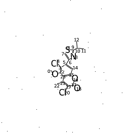 COc1c(Cl)c(-c2csc(C(C)C)n2)cc2oc(=O)c(Cl)c(C)c12